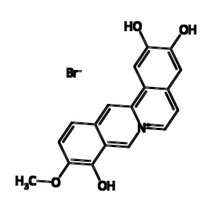 COc1ccc2cc3c4cc(O)c(O)cc4cc[n+]3cc2c1O.[Br-]